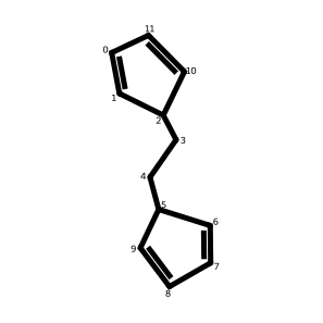 C1=CC(CCC2C=CC=C2)C=C1